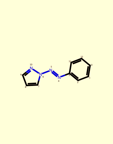 [c]1ccc(N=Nn2cccn2)cc1